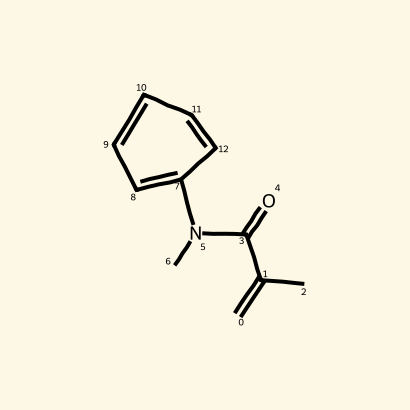 C=C(C)C(=O)N(C)c1ccccc1